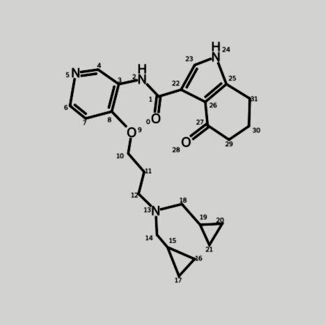 O=C(Nc1cnccc1OCCCN(CC1CC1)CC1CC1)c1c[nH]c2c1C(=O)CCC2